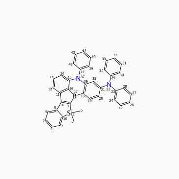 C[Si]1(C)C2=C(c3ccccc31)c1cccc3c1B2c1ccc(N(c2ccccc2)c2ccccc2)cc1N3c1ccccc1